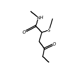 CCC(=O)CC(SC)C(=O)NC